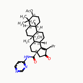 CC(=O)O[C@H]1CC[C@]2(C)[C@H]3CC[C@@H]4C5=C(C(C)C)C(=O)C[C@]5(C(=O)Nc5ccncn5)CC[C@@]4(C)[C@]3(C)CC[C@H]2C1(C)C